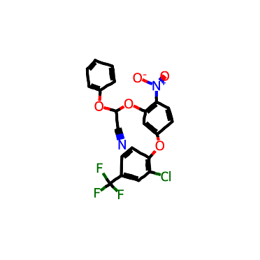 N#CC(Oc1ccccc1)Oc1cc(Oc2ccc(C(F)(F)F)cc2Cl)ccc1[N+](=O)[O-]